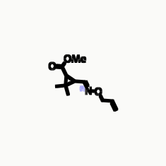 C=CCO/N=C/C1C(C(=O)OC)C1(C)C